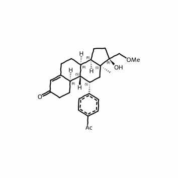 COC[C@@]1(O)CC[C@@H]2[C@@H]3CCC4=CC(=O)CC[C@@H]4[C@H]3[C@@H](c3ccc(C(C)=O)cc3)C[C@@]21C